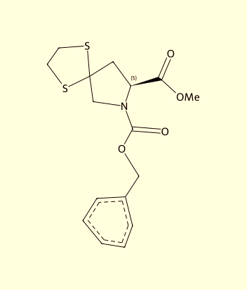 COC(=O)[C@@H]1CC2(CN1C(=O)OCc1ccccc1)SCCS2